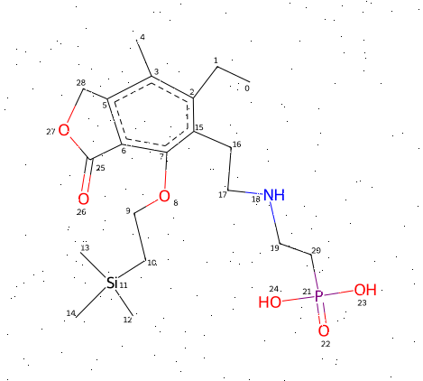 CCc1c(C)c2c(c(OCC[Si](C)(C)C)c1CCNCCP(=O)(O)O)C(=O)OC2